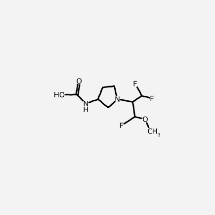 COC(F)C(C(F)F)N1CCC(NC(=O)O)C1